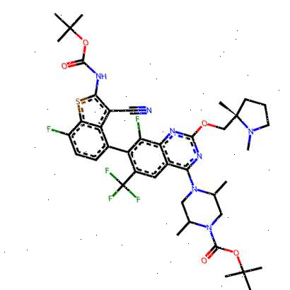 CC1CN(c2nc(OC[C@]3(C)CCCN3C)nc3c(F)c(-c4ccc(F)c5sc(NC(=O)OC(C)(C)C)c(C#N)c45)c(C(F)(F)F)cc23)C(C)CN1C(=O)OC(C)(C)C